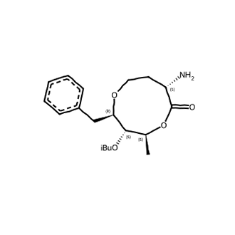 CC(C)CO[C@H]1[C@H](C)OC(=O)[C@@H](N)CCO[C@@H]1Cc1ccccc1